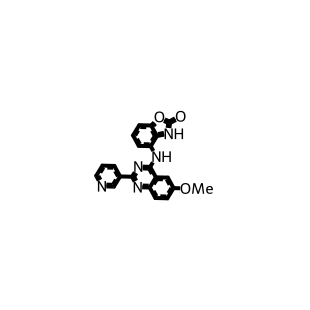 COc1ccc2nc(-c3cccnc3)nc(Nc3cccc4oc(=O)[nH]c34)c2c1